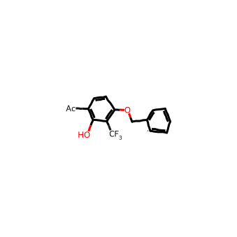 CC(=O)c1ccc(OCc2[c]cccc2)c(C(F)(F)F)c1O